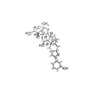 CCC(=O)[C@@]1(C)[C@H](C)C[C@H]2[C@@H]3CCC4=Cc5nn(-c6cccc(O)c6)cc5C[C@]4(C)[C@H]3[C@@H](O)C[C@@]21C